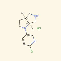 Cl.Clc1ccc(N2CC[C@H]3CNC[C@H]32)cn1